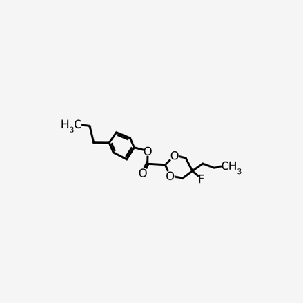 CCCc1ccc(OC(=O)C2OCC(F)(CCC)CO2)cc1